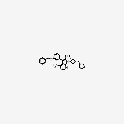 Cc1c(-c2cccc(OCc3ccccc3)c2)c2c(N)ncnc2n1[C@H]1C[C@@H](CN2CCCC2)C1